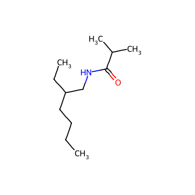 CCCCC(CC)CNC(=O)C(C)C